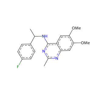 COc1cc2nc(C)nc(NC(C)c3ccc(F)cc3)c2cc1OC